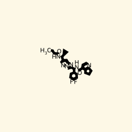 CCCC(=O)N[C@@H](c1cnn2cc([C@@H](NC(=O)c3ccnc4c3CCC4)C3CCC(F)(F)CC3)nc2c1)C1CC1